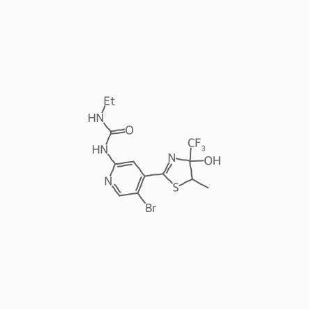 CCNC(=O)Nc1cc(C2=NC(O)(C(F)(F)F)C(C)S2)c(Br)cn1